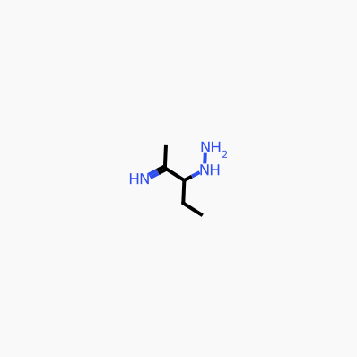 CCC(NN)C(C)=N